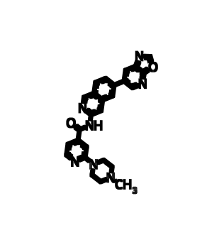 CN1CCN(c2cc(C(=O)Nc3cc4cc(-c5cnc6ocnc6c5)ccc4cn3)ccn2)CC1